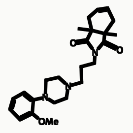 COc1ccccc1N1CCN(CCCN2C(=O)C3(C)CC=CCC3(C)C2=O)CC1